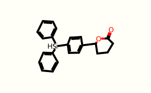 O=C1CCCC(c2ccc([SiH](c3ccccc3)c3ccccc3)cc2)O1